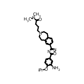 CC(C)Oc1ccc(-c2nc(-c3ccc4c(c3)CCN(CCCC(=O)N(C)C)CC4)no2)cc1N